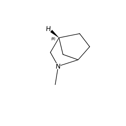 CN1C[C@@H]2CCC1C2